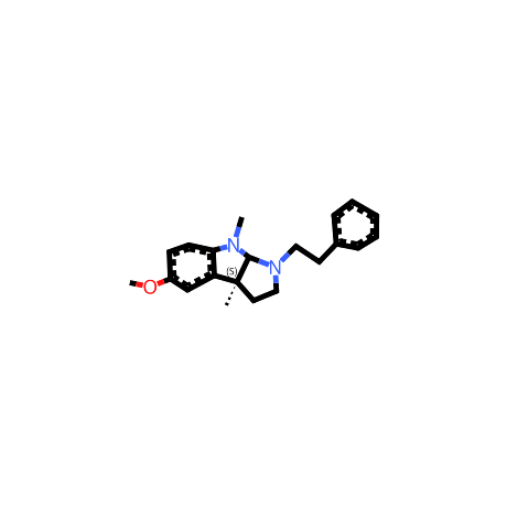 COc1ccc2c(c1)[C@]1(C)CCN(CCc3ccccc3)C1N2C